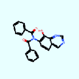 O=C(c1ccccc1)N(C(=O)c1ccccc1)c1ccc2cncnc2c1O